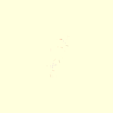 CN(C(=O)OC(C)(C)C)[n+]1ccc(SCOC(=O)C2=CCS[C@H]3CC(=O)N23)cc1.[I-]